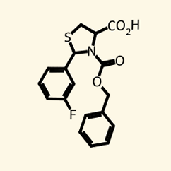 O=C(O)C1CSC(c2cccc(F)c2)N1C(=O)OCc1ccccc1